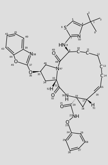 CC(C)(C)c1csc(N[C@H]2CCCCC/C=C\[C@@H]3C[C@@]3(C(=O)NOc3ccccc3)NC(=O)[C@@H]3C[C@@H](Oc4nc5ccccc5o4)CN3C2=O)n1